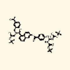 CC(=O)c1cccc(CN(CC(=O)OC(C)(C)C)C(=O)c2cccc3cc(OC(=O)c4ccc(N/C(=N\C(=O)OC(C)(C)C)NC(=O)OC(C)(C)C)cc4)ccc23)c1